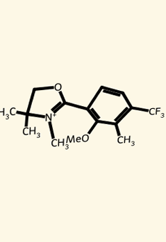 COc1c(C2=[N+](C)C(C)(C)CO2)ccc(C(F)(F)F)c1C